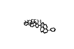 CC1(C)c2cc(-c3ccc4ccc5c(-c6ccccc6)ccc6ccc3c4c65)ccc2-c2ccc3c(oc4ccccc43)c21